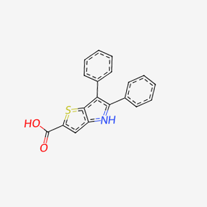 O=C(O)c1cc2[nH]c(-c3ccccc3)c(-c3ccccc3)c2s1